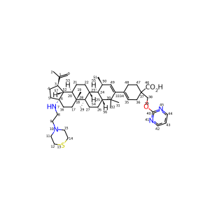 C=C(C)[C@@H]1CC[C@]2(NCCN3CCSCC3)CC[C@]3(C)[C@H](CC[C@@H]4[C@@H]5[C@@H](CC[C@]43C)C(C)(C)C(C3=CCC(COc4ncccn4)(C(=O)O)CC3)=C[C@@H]5C)[C@@H]12